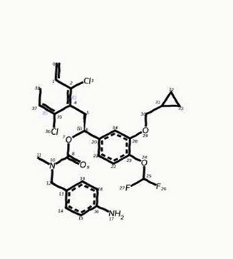 C=C/C(Cl)=C(C[C@H](OC(=O)N(C)Cc1ccc(N)cc1)c1ccc(OC(F)F)c(OCC2CC2)c1)\C(Cl)=C/C